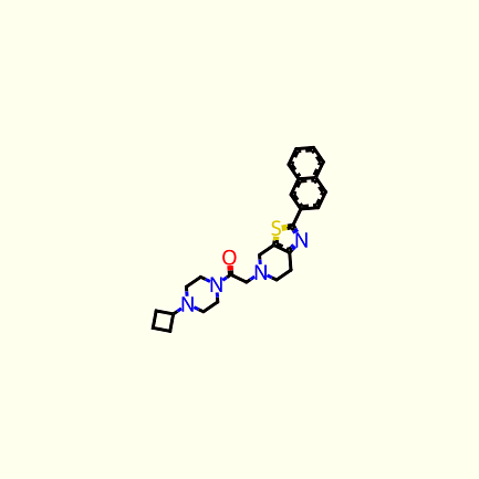 O=C(CN1CCc2nc(-c3ccc4ccccc4c3)sc2C1)N1CCN(C2CCC2)CC1